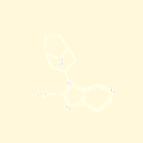 Cc1nc2ccncc2n1C1CC2CCC(C1)N2